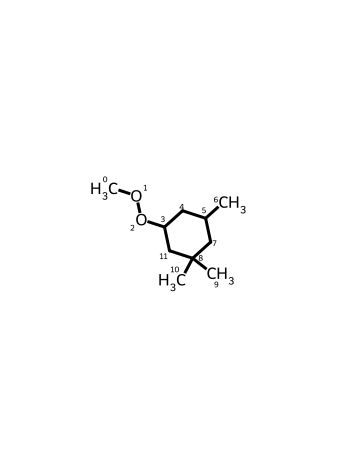 COOC1CC(C)CC(C)(C)C1